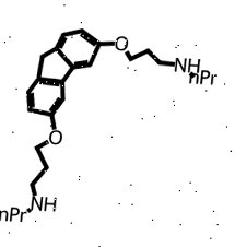 CCCNCCCOc1ccc2c(c1)-c1cc(OCCCNCCC)ccc1C2